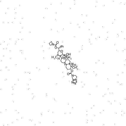 CC(C)C(OC(=O)N1CCC1)C1C[C@@H](C)[C@H]2C(O1)[C@H](O)[C@@]1(C)C3CC[C@H]4C(C)(C)C(OC(=O)N5CCn6cnnc6C5)CCC45CC35CCC21C